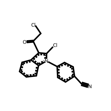 N#Cc1ccc(-n2c(Cl)c(C(=O)CCl)c3ccccc32)cc1